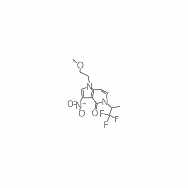 COCCn1cc([N+](=O)[O-])c2c(=O)n(C(C)C(F)(F)F)ccc21